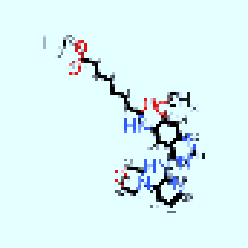 COC(=O)CCCCCCC(=O)Nc1cc2c(Nc3ncccc3N3CCOCC3)ncnc2cc1OC